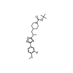 CSc1ccc(-c2noc(C(C)CC3CCN(C(=O)OC(C)(C)C)CC3)n2)cc1F